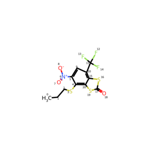 CCCSc1c([N+](=O)[O-])cc(C(F)(F)F)c2sc(=O)sc12